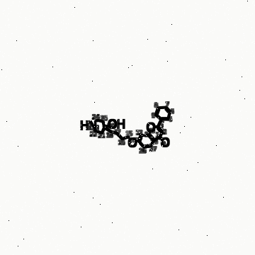 O=c1cc(-c2ccccc2)oc2cc(OCCCCC3(O)CCNCC3)ccc12